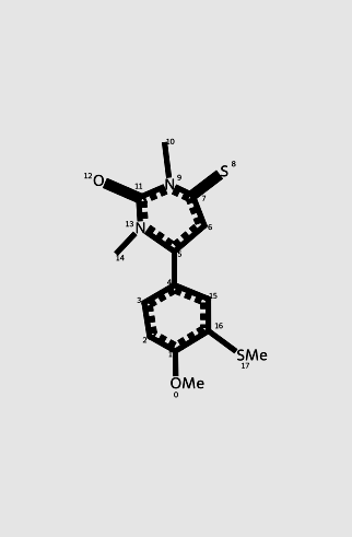 COc1ccc(-c2cc(=S)n(C)c(=O)n2C)cc1SC